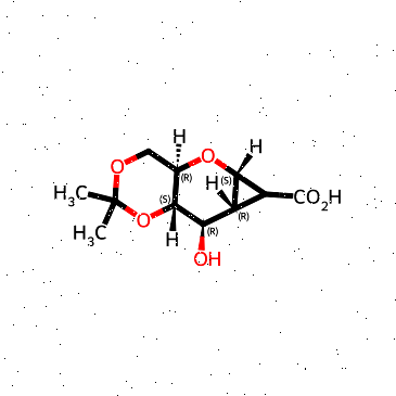 CC1(C)OC[C@H]2O[C@@H]3C(C(=O)O)[C@@H]3[C@@H](O)[C@@H]2O1